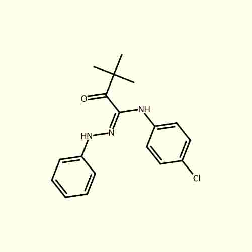 CC(C)(C)C(=O)/C(=N\Nc1ccccc1)Nc1ccc(Cl)cc1